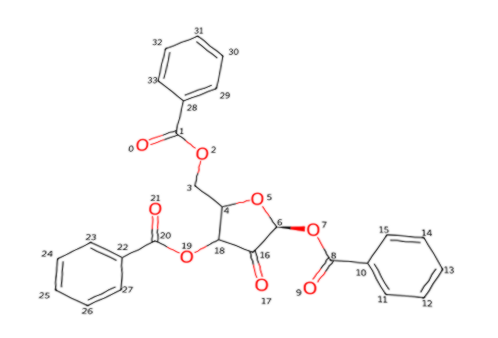 O=C(OCC1O[C@@H](OC(=O)c2ccccc2)C(=O)C1OC(=O)c1ccccc1)c1ccccc1